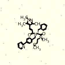 COCCN(C)C(=O)[C@H](Cc1ccccc1)N(Cc1ccc(-c2ccccn2)cc1)C(=O)/C=C/c1c(C)nn(C)c1C